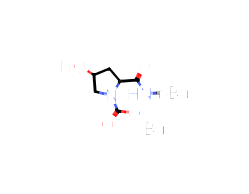 CCCCNC(=O)C1CC(O)CN1C(=O)OC(C)(C)C